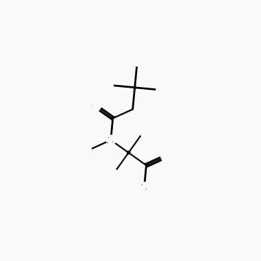 CN(C(=O)CC(C)(C)C)C(C)(C)C(N)=O